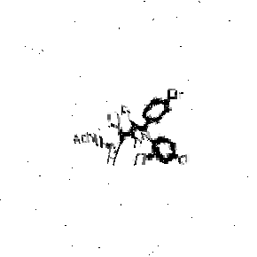 CCc1c(C(=O)NNC(C)=O)nn(-c2ccc(Cl)cc2Cl)c1-c1ccc(Br)cc1